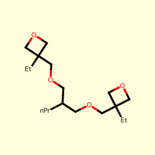 CCCC(COCC1(CC)COC1)COCC1(CC)COC1